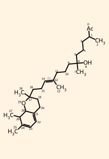 CC(=O)C(C)CCCC(C)(O)CCC/C(C)=C/CCC1(C)CCC2=CC=C(C)C(C)C2O1